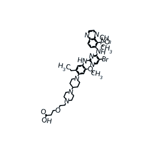 CCc1cc(Nc2ncc(Br)c(Nc3ccc4nccnc4c3P(C)(C)=O)n2)c(OC)cc1N1CCC(N2CCN(CCOCCC(=O)O)CC2)CC1